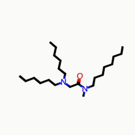 CCCCCCCCN(C)C(=O)CN(CCCCCC)CCCCCC